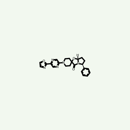 O=C1N2[C@@H](CC[C@H]2c2ccccc2)OC12CCN(c1cnc(-c3ncco3)cn1)CC2